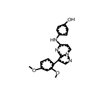 COc1ccc(-c2cnn3ccc(Nc4ccc(O)cc4)nc23)c(OC)c1